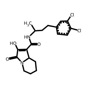 CC(CCc1ccc(Cl)c(Cl)c1)NC(=O)C1=C(O)C(=O)N2CCCCC12